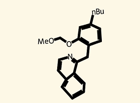 CCCCc1ccc(Cc2nccc3ccccc23)c(OCOC)c1